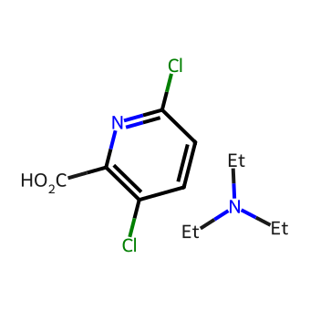 CCN(CC)CC.O=C(O)c1nc(Cl)ccc1Cl